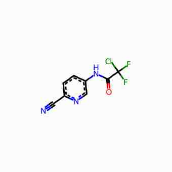 N#Cc1ccc(NC(=O)C(F)(F)Cl)cn1